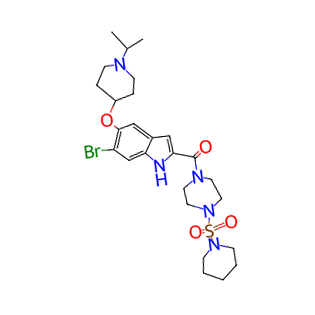 CC(C)N1CCC(Oc2cc3cc(C(=O)N4CCN(S(=O)(=O)N5CCCCC5)CC4)[nH]c3cc2Br)CC1